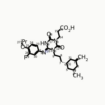 C=C1C[C@H](C)C[C@H](CCCn2c(=O)n(CCC(=O)O)c(=O)[nH]/c2=N\c2ccc(OC(C)C)c(F)c2)C1